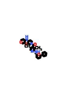 CO[C@@H]1COCC[C@@H]1NC1CCN(C(=O)c2ccnc(NC[C@H]3CCC[C@@H](c4ccccc4)O3)c2C)CC1